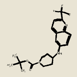 CC(C)(C)OC(=O)N1CCC(Nc2ccc3nc(C(F)(F)F)ccc3c2)CC1